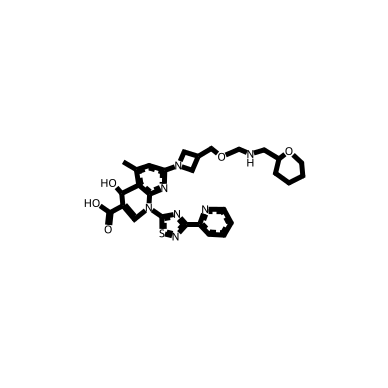 Cc1cc(N2CC(COCNCC3CCCCO3)C2)nc2c1C(O)C(C(=O)O)=CN2c1nc(-c2ccccn2)ns1